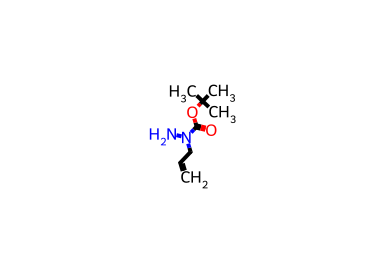 C=CCN(N)C(=O)OC(C)(C)C